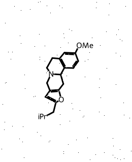 COc1ccc2c(c1)CCN1Cc3cc(CC(C)C)oc3CC21